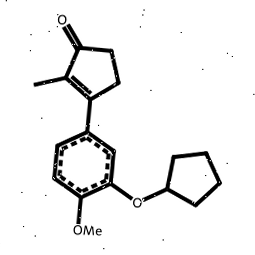 COc1ccc(C2=C(C)C(=O)CC2)cc1OC1CCCC1